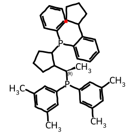 Cc1cc(C)cc(P(c2cc(C)cc(C)c2)[C@H](C)C2CCCC2P(c2ccccc2)c2ccccc2C2CCCC2)c1